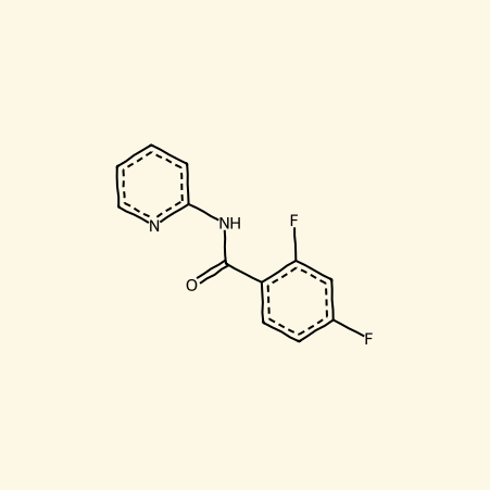 O=C(Nc1ccccn1)c1ccc(F)cc1F